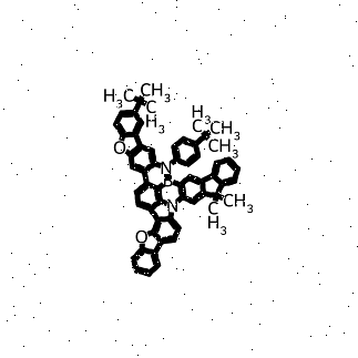 CC(C)(C)c1ccc(N2B3c4cc5c(cc4-n4c6ccc7c8ccccc8oc7c6c6ccc(c3c64)-c3cc4oc6ccc(C(C)(C)C)cc6c4cc32)C(C)(C)c2ccccc2-5)cc1